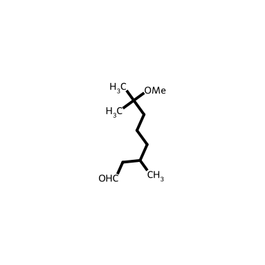 COC(C)(C)CCCC(C)CC=O